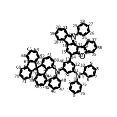 c1ccc(N(c2ccccc2)c2cc(-c3cc4c5ccccc5n(-c5ccccc5)c4c4c3oc3ccccc34)cc(N(c3ccccc3)c3cccc4c3-c3ccccc3C43c4ccccc4-c4ccccc43)c2)cc1